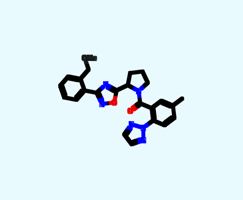 COCc1ccccc1-c1noc(C2CCCN2C(=O)c2cc(C)ccc2-n2nccn2)n1